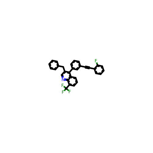 Fc1ccccc1C#Cc1cccc(-c2c(Cc3ccccc3)cnc3c(C(F)(F)F)cccc23)c1